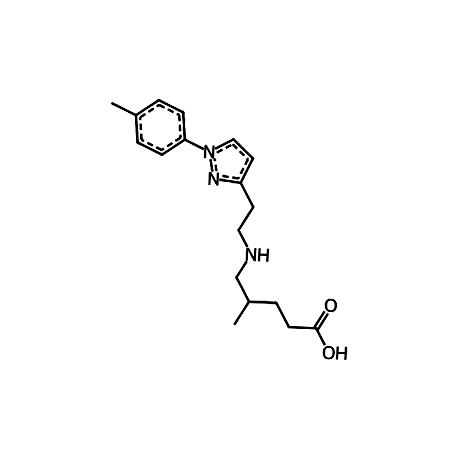 Cc1ccc(-n2ccc(CCNCC(C)CCC(=O)O)n2)cc1